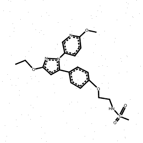 CCOc1cc(-c2ccc(OCCNS(C)(=O)=O)cc2)n(-c2ccc(OC)nc2)n1